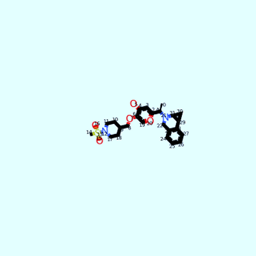 C[C@H](c1cc(=O)c(OCC2CCN(S(C)(=O)=O)CC2)co1)N1Cc2ccccc2C2CC21